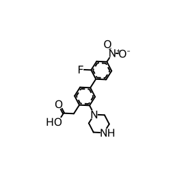 O=C(O)Cc1ccc(-c2ccc([N+](=O)[O-])cc2F)cc1N1CCNCC1